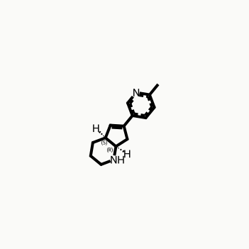 Cc1ccc(C2=C[C@@H]3CCCN[C@@H]3C2)cn1